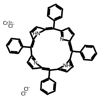 C1=Cc2nc1c(-c1ccccc1)c1ccc([nH]1)c(-c1ccccc1)c1nc(c(-c3ccccc3)c3ccc([nH]3)c2-c2ccccc2)C=C1.[Cl-].[Cl-].[Cl-].[Cr+3]